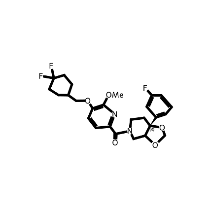 COc1nc(C(=O)N2CC[C@]3(c4cccc(F)c4)OCOC3C2)ccc1OCC1CCC(F)(F)CC1